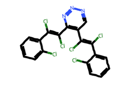 ClC(=C(Cl)c1cnnnc1C(Cl)=C(Cl)c1ccccc1Cl)c1ccccc1Cl